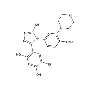 CCc1cc(-c2nnc(S)n2-c2ccc(OC)c(N3CCOCC3)c2)c(O)cc1O